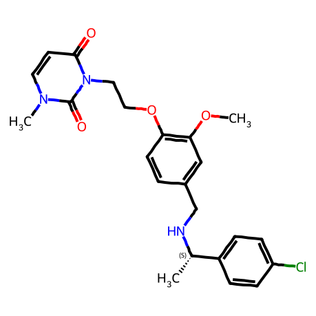 COc1cc(CN[C@@H](C)c2ccc(Cl)cc2)ccc1OCCn1c(=O)ccn(C)c1=O